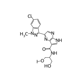 Cn1nc(-c2cnc3[nH]cc(C(=O)NC(CO)COI)c3n2)c2ccc(Cl)cc21